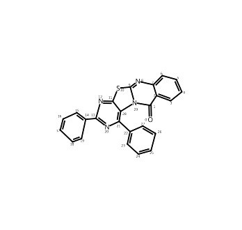 O=c1c2ccccc2nc2sc3nc(-c4ccccc4)nc(-c4ccccc4)c3n12